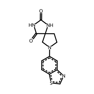 O=C1NC(=O)C2(CCN(c3ccc4scnc4c3)C2)N1